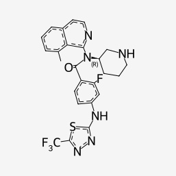 Cc1cccc2ccnc(N(C(=O)c3ccc(Nc4nnc(C(F)(F)F)s4)cc3F)[C@@H]3CCCNC3)c12